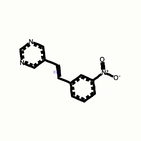 O=[N+]([O-])c1cccc(/C=C/c2cncnc2)c1